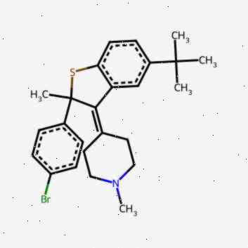 CN1CCC(=C2c3cc(C(C)(C)C)ccc3SC2(C)c2ccc(Br)cc2)CC1